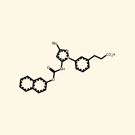 CC(C)(C)c1cc(NC(=O)Oc2ccc3ccccc3c2)n(-c2cccc(CCC(=O)O)c2)n1